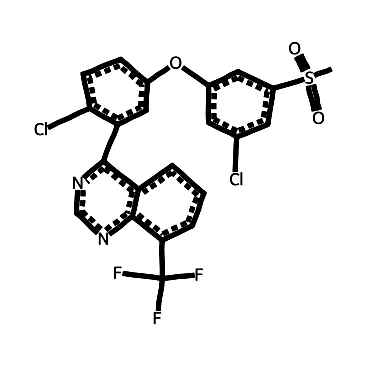 CS(=O)(=O)c1cc(Cl)cc(Oc2ccc(Cl)c(-c3ncnc4c(C(F)(F)F)cccc34)c2)c1